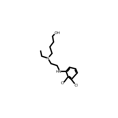 CCN(CCCCO)CCNc1cccc(Cl)c1Cl